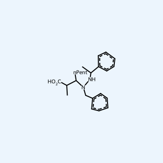 CCCCCC(C(C)C(=O)O)N(Cc1ccccc1)NC(C)c1ccccc1